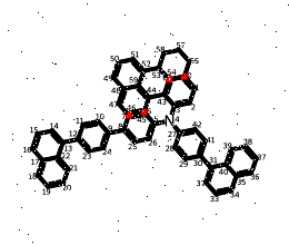 c1ccc(N(c2ccc(-c3ccc(-c4cccc5ccccc45)cc3)cc2)c2ccc(-c3cccc4ccccc34)cc2)c(-c2cccc3cccc(C4CCCCC4)c23)c1